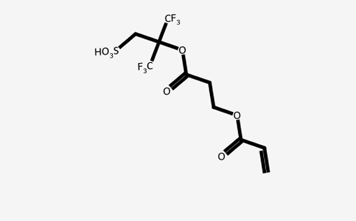 C=CC(=O)OCCC(=O)OC(CS(=O)(=O)O)(C(F)(F)F)C(F)(F)F